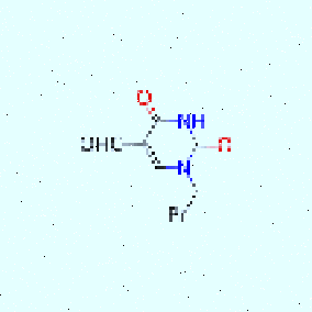 CC(C)Cn1cc(C=O)c(=O)[nH]c1=O